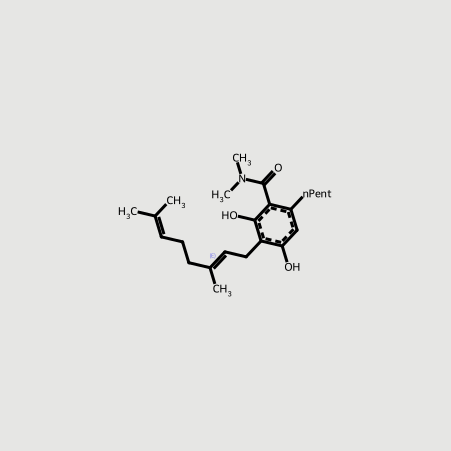 CCCCCc1cc(O)c(C/C=C(\C)CCC=C(C)C)c(O)c1C(=O)N(C)C